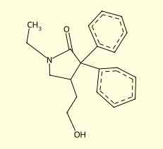 CCN1CC(CCO)C(c2ccccc2)(c2ccccc2)C1=O